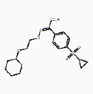 O=C(O)/C(=N/OCCOC1CCCCO1)c1ccc(S(=O)(=O)C2CC2)cc1